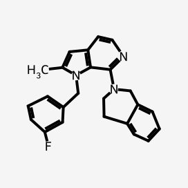 Cc1cc2ccnc(N3CCc4ccccc4C3)c2n1Cc1cccc(F)c1